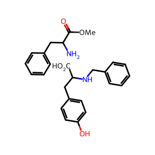 COC(=O)C(N)Cc1ccccc1.O=C(O)C(Cc1ccc(O)cc1)NCc1ccccc1